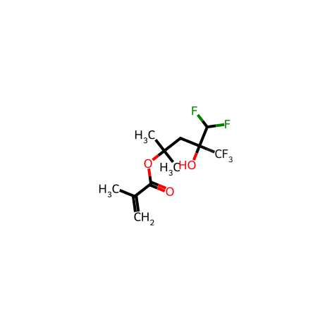 C=C(C)C(=O)OC(C)(C)CC(O)(C(F)F)C(F)(F)F